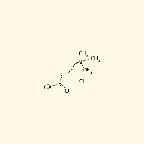 CCCCC(=O)OCC[N+](C)(C)C.[Cl-]